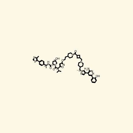 Cc1ncsc1-c1ccc([C@H](C)NC(=O)[C@@H]2C[C@@H](O)CN2C(=O)[C@@H](c2cc(OCCC3CCN(C(=O)C4CC(CN5CCC([C@@H](C)n6cc(-c7cc(-c8ccccc8O)nnc7N)cn6)CC5)C4)CC3)no2)C(C)C)cc1